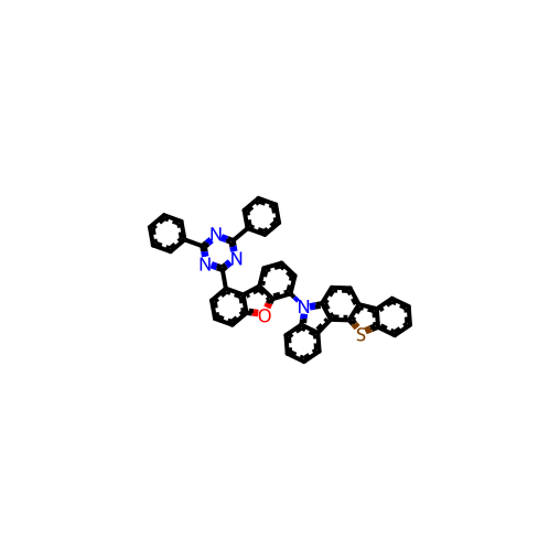 c1ccc(-c2nc(-c3ccccc3)nc(-c3cccc4oc5c(-n6c7ccccc7c7c8sc9ccccc9c8ccc76)cccc5c34)n2)cc1